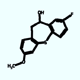 COc1ccc2c(c1)Sc1ccc(F)cc1C(O)C2